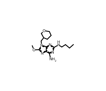 CCCCNc1nc(N)c2nc(OC)n(CC3CCCOC3)c2n1